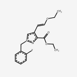 CCO/C=C/c1cn(Cc2ccccc2F)nc1C(=O)OCC